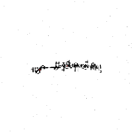 NC(CCCCNC(=O)COCCOCCNC(=O)COCCOCCNC(=O)CCC(NCC1CCC(CNC(=O)CCCCCCCCCCOc2ccc(C(=O)O)cc2)CC1)C(=O)O)C(=O)O